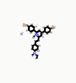 CCN(C)c1ccc(/C=C/c2cc(-c3ccc(Br)cc3)cc(-c3ccc(Br)cc3)[n+]2C)cc1.[I-]